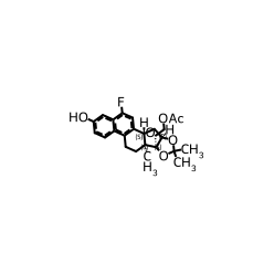 CC(=O)OCC(=O)[C@@]12OC(C)(C)O[C@@H]1C[C@H]1c3cc(F)c4cc(O)ccc4c3CC[C@@]12C